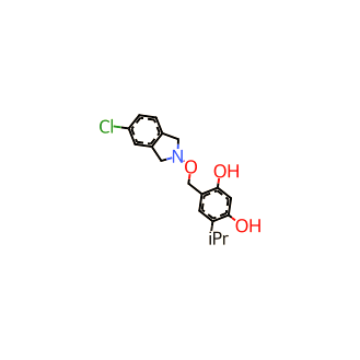 CC(C)c1cc(CON2Cc3ccc(Cl)cc3C2)c(O)cc1O